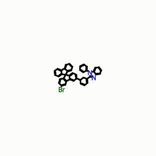 Brc1ccc2c(c1)-c1cc(C3C=CC=C(c4nc5ccccc5n4-c4ccccc4)C3)ccc1C21c2ccccc2-c2ccccc21